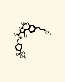 CCn1nc(C(=O)NC[C@H]2CC[C@H](S(C)(=O)=O)CC2)c(Cl)c1-c1ccc(CCCC(F)(F)F)cc1OC